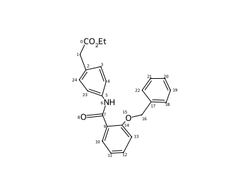 CCOC(=O)Cc1ccc(NC(=O)c2ccccc2OCc2ccccc2)cc1